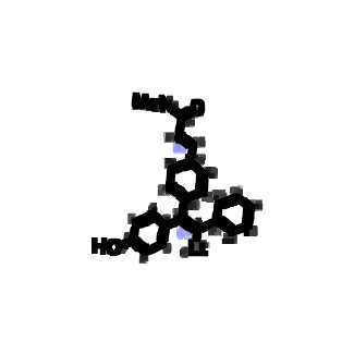 CC/C(=C(\c1ccc(O)cc1)c1ccc(/C=C/C(=O)NC)cc1)c1ccccc1